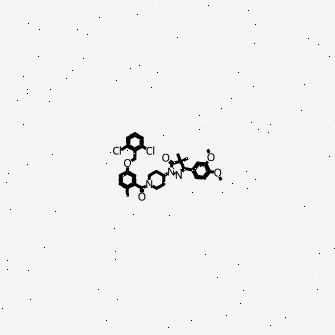 COc1ccc(C2=NN(C3CCN(C(=O)c4cc(OCc5c(Cl)cccc5Cl)ccc4C)CC3)C(=O)C2(C)C)cc1OC